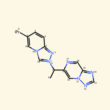 CC(C)c1ccc2n[n+](C(C)c3cn4ncnc4cn3)cn2c1